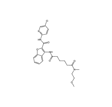 COCCN(C)C(=O)CCCCC(=O)Nc1c(C(=O)Nc2ccc(Cl)cn2)oc2ccccc12